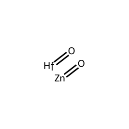 [O]=[Hf].[O]=[Zn]